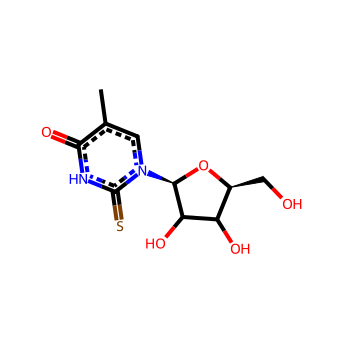 Cc1cn([C@H]2O[C@@H](CO)C(O)C2O)c(=S)[nH]c1=O